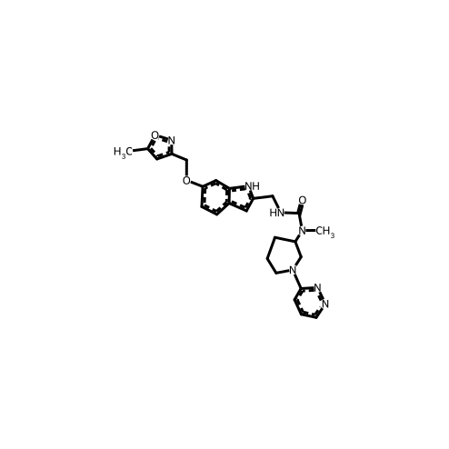 Cc1cc(COc2ccc3cc(CNC(=O)N(C)C4CCCN(c5cccnn5)C4)[nH]c3c2)no1